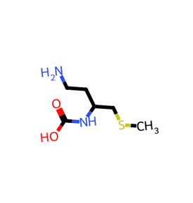 CSCC(CCN)NC(=O)O